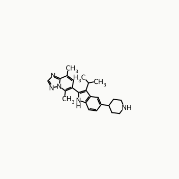 Cc1cc(-c2[nH]c3ccc(C4CCNCC4)cc3c2C(C)C)c(C)n2ncnc12